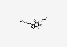 C=CCCCCn1cnc2c1c(=O)n(CCCCC)c(=O)n2C